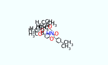 CC(C)c1ccc(C(Oc2ccc(B3OC(C)(C)C(C)(C)O3)cc2)C(=O)NCCO[Si](C)(C)C(C)(C)C)cc1